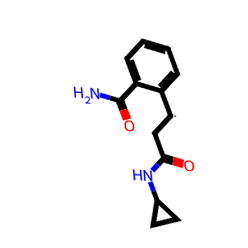 NC(=O)c1ccccc1[CH]CC(=O)NC1CC1